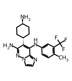 Cc1ccc(Nc2c3nccn3nc(N)c2[C@H]2CC[C@H](N)CC2)cc1C(F)(F)F